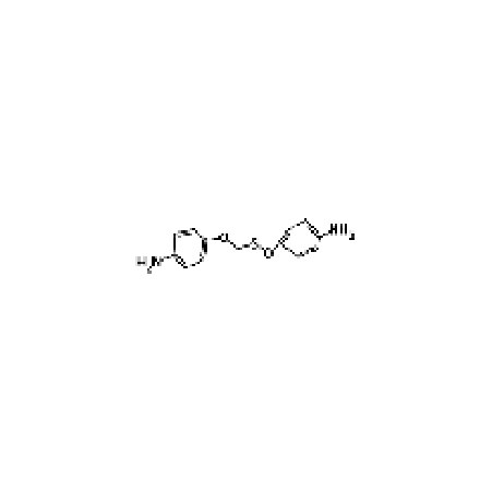 Nc1ccc(OCSOc2ccc(N)cc2)cc1